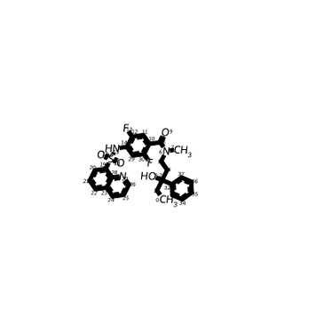 CCC(O)(CCN(C)C(=O)c1cc(F)c(NS(=O)(=O)c2cccc3cccnc23)cc1F)c1ccccc1